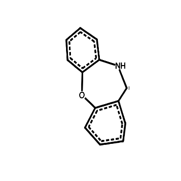 [C]1Nc2ccccc2Oc2ccccc21